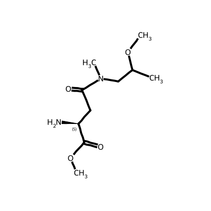 COC(=O)[C@@H](N)CC(=O)N(C)CC(C)OC